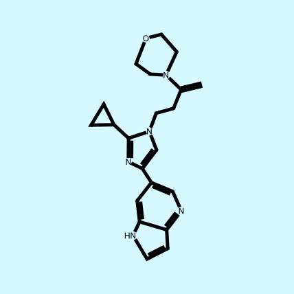 C=C(CCn1cc(-c2cnc3cc[nH]c3c2)nc1C1CC1)N1CCOCC1